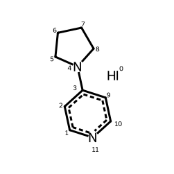 I.c1cc(N2CCCC2)ccn1